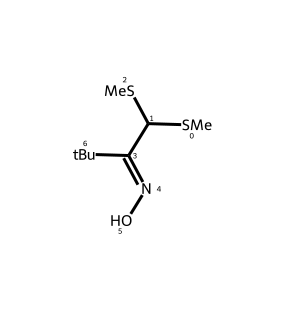 CSC(SC)C(=NO)C(C)(C)C